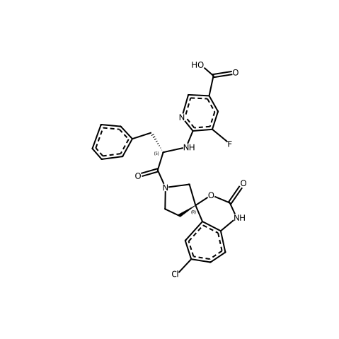 O=C1Nc2ccc(Cl)cc2[C@@]2(CCN(C(=O)[C@H](Cc3ccccc3)Nc3ncc(C(=O)O)cc3F)C2)O1